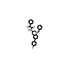 O=C(NC1Cc2cc(-c3ccc(F)cc3)ccc2N(Cc2ccccc2)C1)C(=O)c1ccccc1